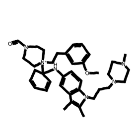 COc1cccc(CC[N+]2(C3(Nc4ccc5c(c4)c(C)c(C)n5CCCN4CCN(C)CC4)C=CC=CC3)CCN(C=O)CC2)c1